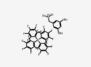 CCCCc1cc(CCCC)cc(C[NH+](CC)CC)c1.Fc1c(F)c(F)c([B-](c2c(F)c(F)c(F)c(F)c2F)(c2c(F)c(F)c(F)c(F)c2F)c2c(F)c(F)c(F)c(F)c2F)c(F)c1F